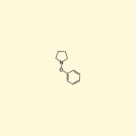 c1ccc(ON2CCCC2)cc1